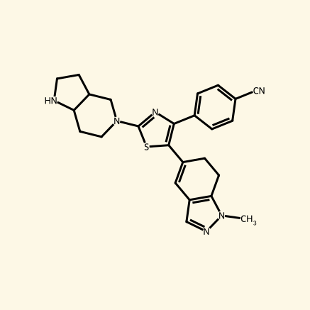 Cn1ncc2c1CCC(c1sc(N3CCC4NCCC4C3)nc1-c1ccc(C#N)cc1)=C2